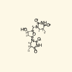 Cc1cn(C[C@H]2O[C@@H](n3cc(C)c(=O)[nH]c3=O)CC2O)c(=O)[nH]c1=O